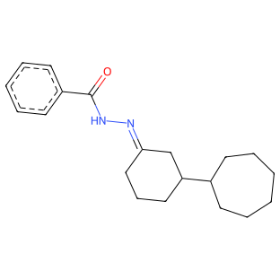 O=C(N/N=C1\CCCC(C2CCCCCC2)C1)c1ccccc1